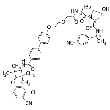 C[C@H](NC(=O)[C@@H]1C[C@@H](O)CN1C(=O)[C@@H](NC(=O)COCCOc1ccc(-c2ccc(C(=O)N[C@H]3C(C)(C)[C@H](Oc4ccc(C#N)c(Cl)c4)C3(C)C)cc2)cc1)C(C)(C)C)c1ccc(C#N)cc1